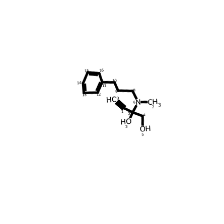 C#CC(O)(CO)N(C)CCCc1ccccc1